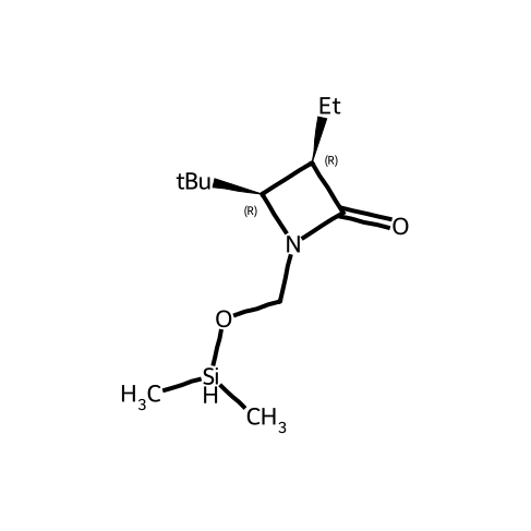 CC[C@H]1C(=O)N(CO[SiH](C)C)[C@H]1C(C)(C)C